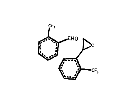 FC(F)(F)c1ccccc1C1CO1.O=Cc1ccccc1C(F)(F)F